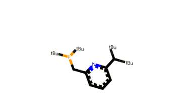 CC(C)(C)[C](c1cccc(CP(C(C)(C)C)C(C)(C)C)n1)C(C)(C)C